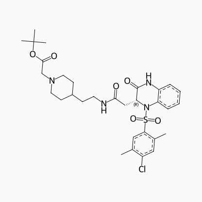 Cc1cc(S(=O)(=O)N2c3ccccc3NC(=O)[C@H]2CC(=O)NCCC2CCN(CC(=O)OC(C)(C)C)CC2)c(C)cc1Cl